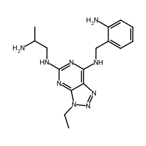 CCn1nnc2c(NCc3ccccc3N)nc(NCC(C)N)nc21